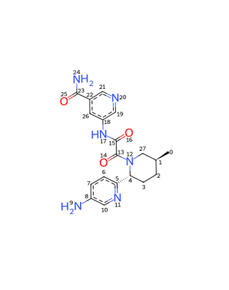 C[C@H]1CC[C@H](c2ccc(N)cn2)N(C(=O)C(=O)Nc2cncc(C(N)=O)c2)C1